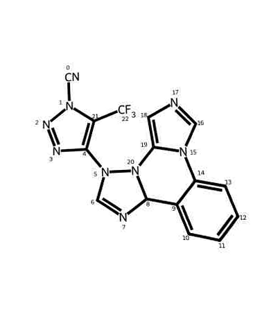 N#Cn1nnc(N2C=NC3c4ccccc4-n4cncc4N32)c1C(F)(F)F